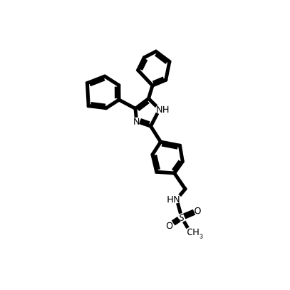 CS(=O)(=O)NCc1ccc(-c2nc(-c3ccccc3)c(-c3ccccc3)[nH]2)cc1